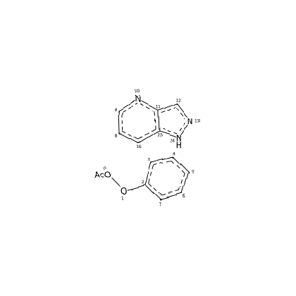 CC(=O)OOc1ccccc1.c1cnc2cn[nH]c2c1